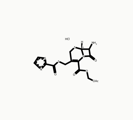 CC(=O)OCOC(=O)C1=C(CSC(=O)c2nccs2)CS[C@@H]2C(N)C(=O)N12.Cl